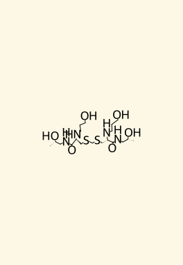 C[C@H](O)CNC(=O)[C@H](CSCSC[C@H](NCCCO)C(=O)NC[C@@H](C)O)NCCCO